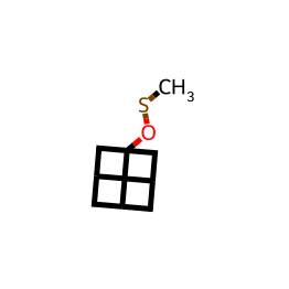 CSOC12CC3CC4CC(C1)C432